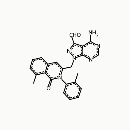 Cc1ccccc1-n1c(Cn2nc(C=O)c3c(N)ncnc32)cc2cccc(C)c2c1=O